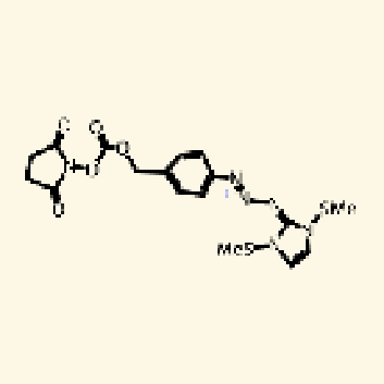 CSn1ccn(SC)c1=N/N=N/c1ccc(COC(=O)ON2C(=O)CCC2=O)cc1